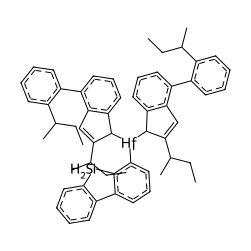 CCC(C)C1=Cc2c(-c3ccccc3C(C)CC)cccc2[CH]1[Hf]([c]1cccc2c1[SiH2]c1ccccc1-2)[CH]1C(C(C)CC)=Cc2c(-c3ccccc3C(C)CC)cccc21